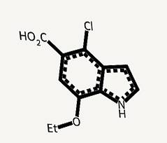 CCOc1cc(C(=O)O)c(Cl)c2cc[nH]c12